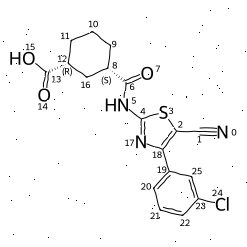 N#Cc1sc(NC(=O)[C@H]2CCC[C@@H](C(=O)O)C2)nc1-c1cccc(Cl)c1